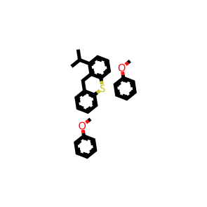 CC(C)c1cccc2c1Cc1ccccc1S2.COc1ccccc1.COc1ccccc1